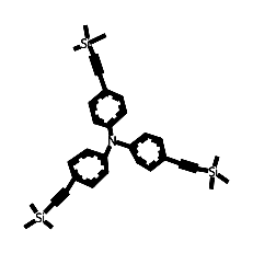 C[Si](C)(C)C#Cc1ccc(N(c2ccc(C#C[Si](C)(C)C)cc2)c2ccc(C#C[Si](C)(C)C)cc2)cc1